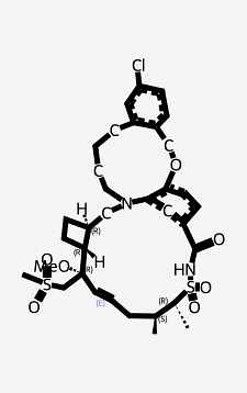 CO[C@@]1(CS(C)(=O)=O)/C=C/C[C@H](C)[C@@H](C)S(=O)(=O)NC(=O)c2ccc3c(c2)N(CCCCc2cc(Cl)ccc2CO3)C[C@@H]2CC[C@H]21